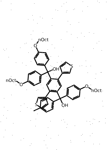 CCCCCCCCOc1ccc(C(O)(c2ccc(C)cc2)c2cc(-c3ccsc3)c(C(O)(c3ccc(OCCCCCCCC)cc3)c3ccc(OCCCCCCCC)cc3)cc2-c2ccsc2)cc1